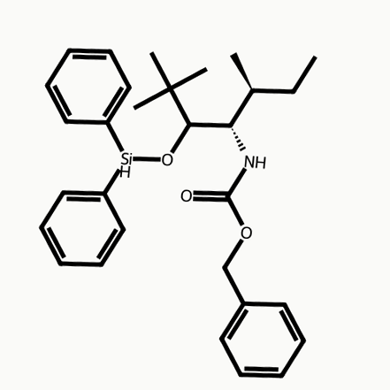 CC[C@H](C)[C@H](NC(=O)OCc1ccccc1)C(O[SiH](c1ccccc1)c1ccccc1)C(C)(C)C